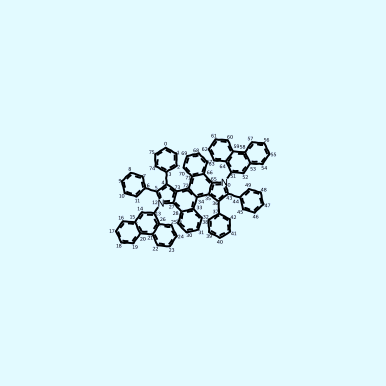 c1ccc(-c2c(-c3ccccc3)n(-c3cc4ccccc4c4ccccc34)c3c4ccccc4c4c5c(-c6ccccc6)c(-c6ccccc6)n(-c6cc7ccccc7c7ccccc67)c5c5ccccc5c4c23)cc1